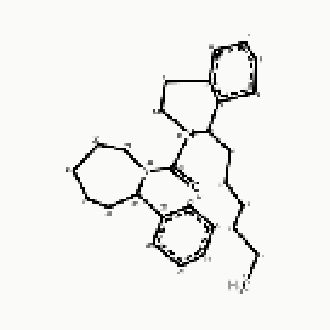 CCCCCCC1c2ccccc2CCN1C(=O)N1CCCCCC1c1ccccc1